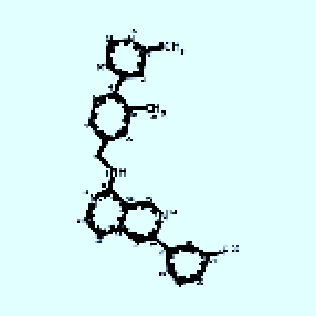 Cc1cc(-c2ccc(CNc3nccc4cc(-c5cccc(F)c5)ncc34)cc2C)ccn1